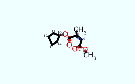 COC(=O)/C=C(/C)C(=O)OC1CCCC1